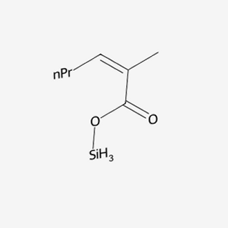 CCCC=C(C)C(=O)O[SiH3]